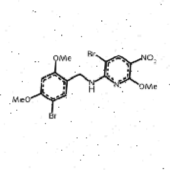 COc1cc(OC)c(CNc2nc(OC)c([N+](=O)[O-])cc2Br)cc1Br